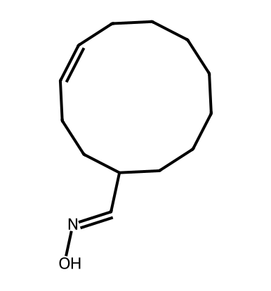 ON=CC1CCC=CCCCCCCC1